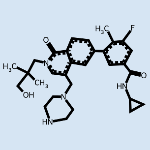 Cc1c(F)cc(C(=O)NC2CC2)cc1-c1ccc2c(=O)n(CC(C)(C)CO)cc(CN3CCNCC3)c2c1